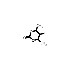 CC1OC(=O)OC(C)C1F